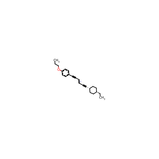 CCCOc1ccc(C#C/C=C/C#C[C@H]2CC[C@H](CC)CC2)cc1